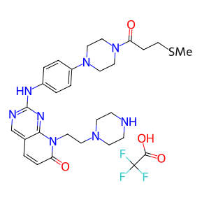 CSCCC(=O)N1CCN(c2ccc(Nc3ncc4ccc(=O)n(CCN5CCNCC5)c4n3)cc2)CC1.O=C(O)C(F)(F)F